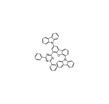 c1ccc(-c2nc(-c3ccccc3)nc(-c3cc(-n4c5ccccc5c5ccccc54)cc4c3oc3c(-n5c6ccccc6c6ccccc65)cccc34)n2)cc1